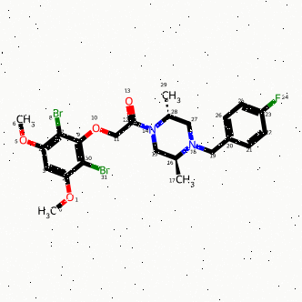 COc1cc(OC)c(Br)c(OCC(=O)N2C[C@H](C)N(Cc3ccc(F)cc3)C[C@H]2C)c1Br